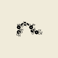 CC(C)c1cc(N2C(=S)N(c3ccc(C#N)c(C(F)(F)F)c3)C(=O)C2(C)C)ccc1OCCN1C[C@@H](C)N(CC(=O)Nc2cccc(NC3CCC(=O)NC3=O)c2)C[C@H]1C